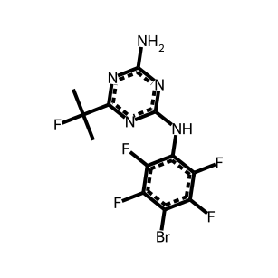 CC(C)(F)c1nc(N)nc(Nc2c(F)c(F)c(Br)c(F)c2F)n1